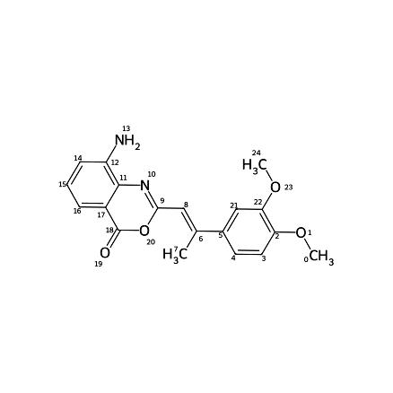 COc1ccc(/C(C)=C/c2nc3c(N)cccc3c(=O)o2)cc1OC